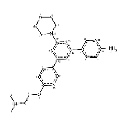 CN(C)CCOc1ccc(-c2cc(-c3ccc(N)nc3)nc(N3CCOCC3)n2)cn1